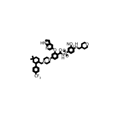 CC1(C)CCC(CN2CCN(c3ccc(C(=O)NS(=O)(=O)c4ccc(NCC5CCOCC5)c([N+](=O)[O-])c4)c(Oc4cnc5[nH]ccc5c4)c3)CC2)=C(c2ccc(C(F)(F)F)cc2)C1